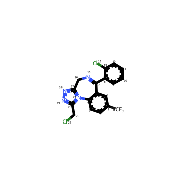 FC(F)(F)c1ccc2c(c1)C(c1ccccc1Cl)=NCc1nnc(CCl)n1-2